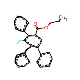 C=CCOC(=O)c1cc(-c2ccccc2)c(-c2ccccc2)c(F)c1-c1ccccc1